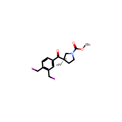 CCC[C@@]1(C(=O)c2ccc(CI)c(CI)c2)CCN(C(=O)OC(C)(C)C)C1